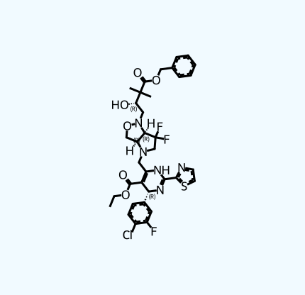 CCOC(=O)C1=C(CN2CC(F)(F)[C@H]3[C@@H]2CON3C[C@H](O)C(C)(C)C(=O)OCc2ccccc2)NC(c2nccs2)=N[C@@H]1c1ccc(Cl)c(F)c1